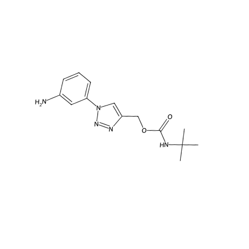 CC(C)(C)NC(=O)OCc1cn(-c2cccc(N)c2)nn1